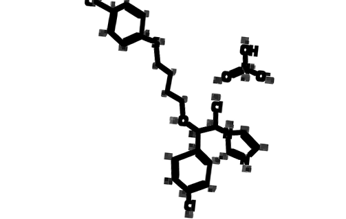 Clc1ccc(SCCCCOC(c2ccc(Cl)cc2)C(Cl)n2ccnc2)cc1.O=[N+]([O-])O